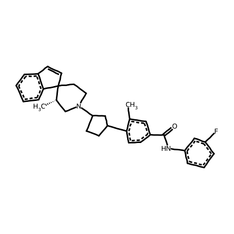 Cc1cc(C(=O)Nc2cccc(F)c2)ccc1C1CCC(N2CCC3(C=Cc4ccccc43)[C@@H](C)C2)C1